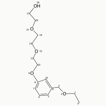 CCOCc1cccc(OCCOCCOCCO)c1